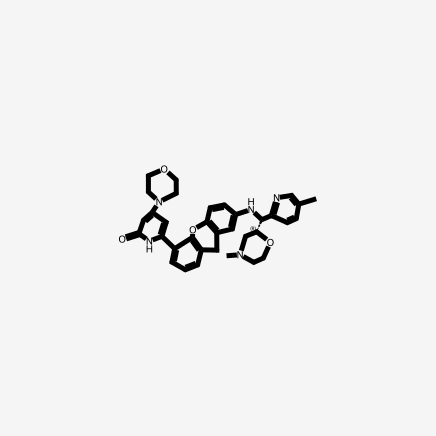 Cc1ccc(C(Nc2ccc3c(c2)Cc2cccc(-c4cc(N5CCOCC5)cc(=O)[nH]4)c2O3)[C@H]2CN(C)CCO2)nc1